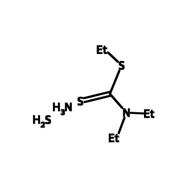 CCSC(=S)N(CC)CC.N.S